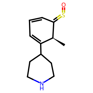 C[C@H]1C(C2CCNCC2)=CC=CC1=S=O